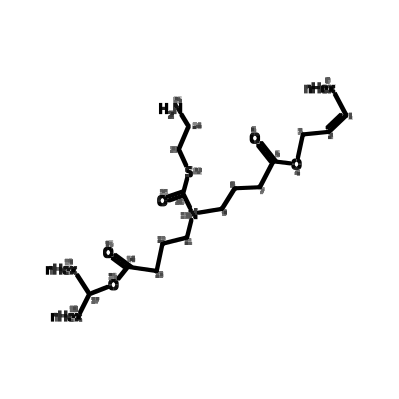 CCCCCC/C=C\COC(=O)CCCN(CCCC(=O)OC(CCCCCC)CCCCCC)C(=O)SCCN